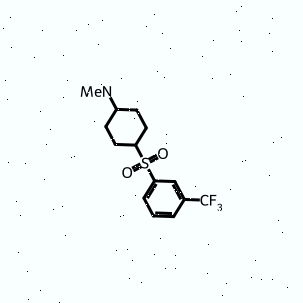 CNC1CCC(S(=O)(=O)c2cccc(C(F)(F)F)c2)CC1